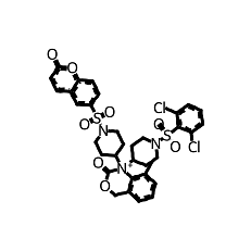 Cc1cccc2c1[N+](C1CCN(S(=O)(=O)c3ccc4oc(=O)ccc4c3)CC1)(C1CCN(S(=O)(=O)c3c(Cl)cccc3Cl)CC1)C(=O)OC2